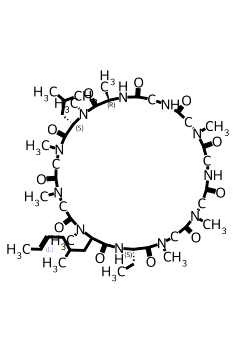 C/C=C/CC(C)CC1C(=O)N[C@@H](CC)C(=O)N(C)CC(=O)N(C)CC(=O)NCC(=O)N(C)CC(=O)NCC(=O)N[C@H](C)C(=O)N(C)[C@@H](CC(C)C)C(=O)N(C)CC(=O)N(C)CC(=O)N1C